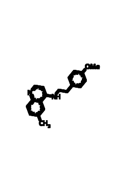 COc1ccc(CCNc2ccnc3ccc(C)cc23)cc1